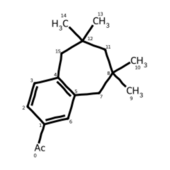 CC(=O)c1ccc2c(c1)CC(C)(C)CC(C)(C)C2